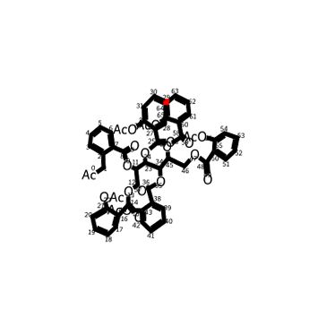 CC(=O)Cc1ccccc1C(=O)OC(COC(=O)c1ccccc1OC(C)=O)C(OC(=O)c1ccccc1OC(C)=O)C(OC(=O)c1ccccc1OC(C)=O)C(COC(=O)c1ccccc1OC(C)=O)OC(=O)c1ccccc1OC(C)=O